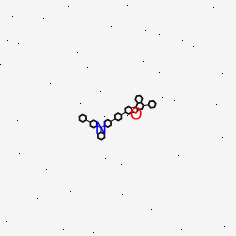 c1ccc(-c2ccc(N(c3ccccc3)c3ccc(-c4ccc(-c5ccc6c(c5)oc5cc(-c7ccccc7)c7ccccc7c56)cc4)cc3)cc2)cc1